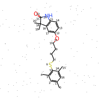 Cc1cc(C)c(SCCCCOc2ccc3c(c2)C(C)(C)C(=O)N3)c(C)c1